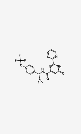 O=C(NC(c1ccc(OC(F)(F)F)cc1)C1CC1)c1cc(=O)[nH]c(-c2ncccn2)n1